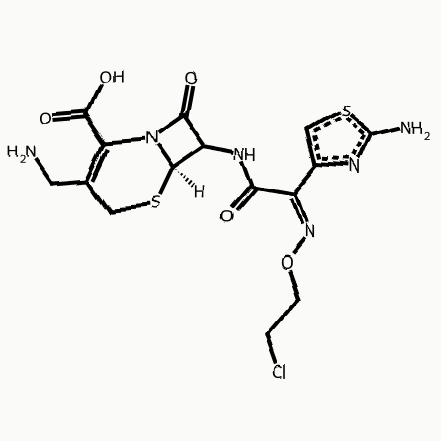 NCC1=C(C(=O)O)N2C(=O)C(NC(=O)/C(=N\OCCCl)c3csc(N)n3)[C@H]2SC1